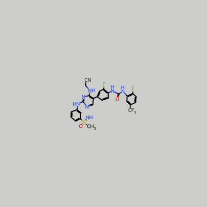 CS(=N)(=O)c1cccc(Nc2ncc(-c3ccc(NC(=O)Nc4cc(C(F)(F)F)ccc4F)c(F)c3)c(NCC#N)n2)c1